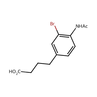 CC(=O)Nc1ccc(CCCC(=O)O)cc1Br